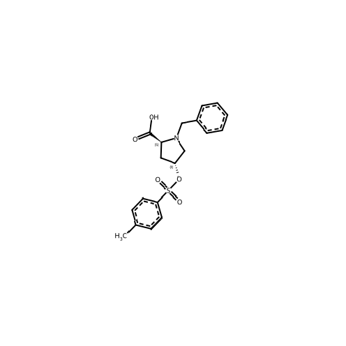 Cc1ccc(S(=O)(=O)O[C@@H]2C[C@@H](C(=O)O)N(Cc3ccccc3)C2)cc1